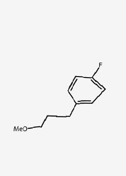 COCCCc1ccc(F)cc1